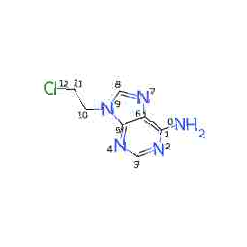 Nc1ncnc2c1ncn2CCCl